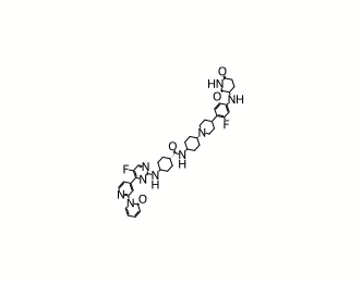 O=C1CCC(Nc2ccc(C3CCN([C@H]4CC[C@H](NC(=O)[C@H]5CC[C@H](Nc6ncc(F)c(-c7ccnc(-n8ccccc8=O)c7)n6)CC5)CC4)CC3)c(F)c2)C(=O)N1